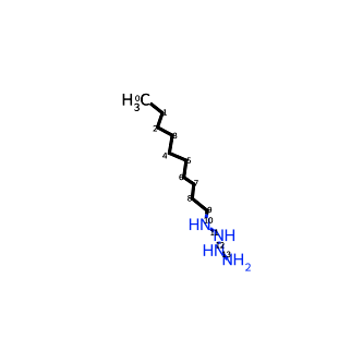 CCCCCCCCCCNNNN